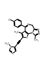 Cc1c(C#Cc2cncn2C)sc2c1C(c1ccc(Cl)cc1)=NCc1nnc(C)n1-2